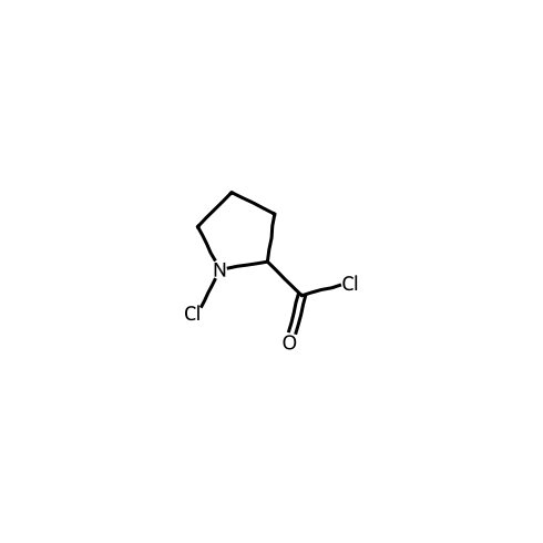 O=C(Cl)C1CCCN1Cl